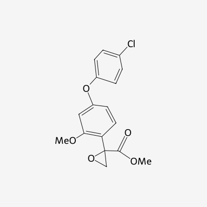 COC(=O)C1(c2ccc(Oc3ccc(Cl)cc3)cc2OC)CO1